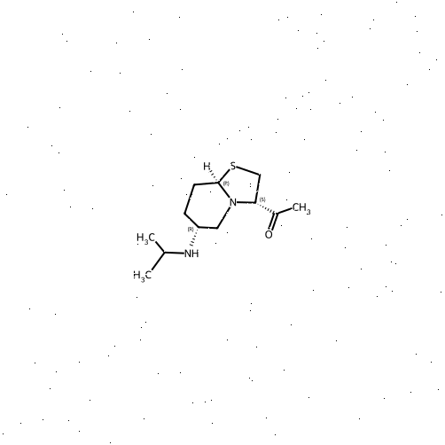 CC(=O)[C@H]1CS[C@@H]2CC[C@@H](NC(C)C)CN12